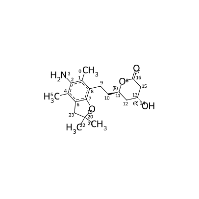 Cc1c(N)c(C)c2c(c1CC[C@@H]1C[C@@H](O)CC(=O)O1)OC(C)(C)C2